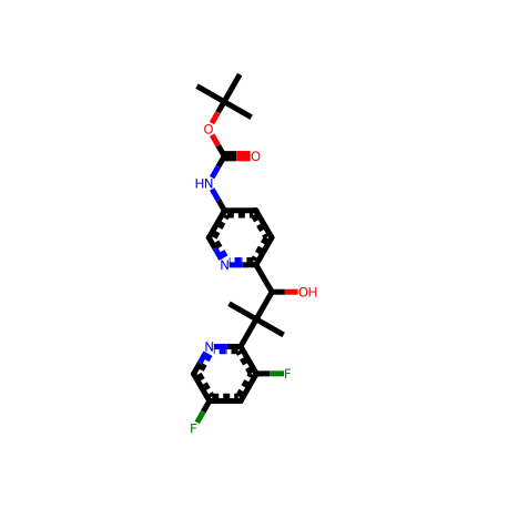 CC(C)(C)OC(=O)Nc1ccc(C(O)C(C)(C)c2ncc(F)cc2F)nc1